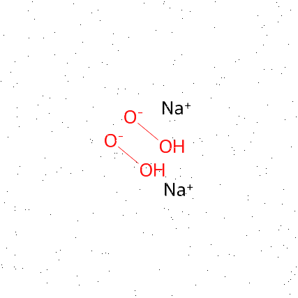 [Na+].[Na+].[O-]O.[O-]O